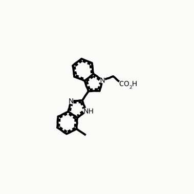 Cc1cccc2nc(-c3cn(CC(=O)O)c4ccccc34)[nH]c12